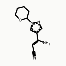 N#CC=C(N)c1cnn(C2CCCCO2)c1